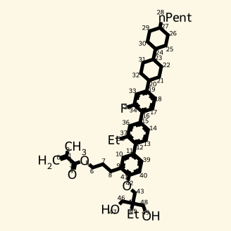 C=C(C)C(=O)OCCCc1cc(-c2ccc(-c3ccc(C4CCC(C5CCC(CCCCC)CC5)CC4)cc3F)cc2CC)ccc1OCC(CC)(CO)CO